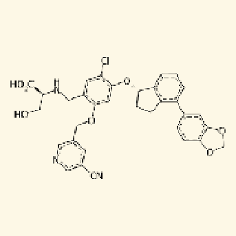 N#Cc1cncc(COc2cc(O[C@H]3CCc4c(-c5ccc6c(c5)OCO6)cccc43)c(Cl)cc2CN[C@@H](CO)C(=O)O)c1